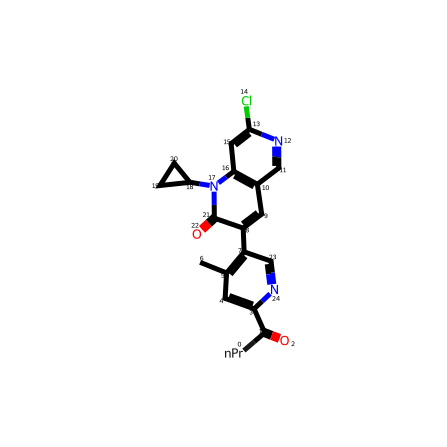 CCCC(=O)c1cc(C)c(-c2cc3cnc(Cl)cc3n(C3CC3)c2=O)cn1